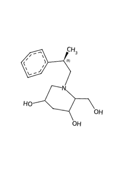 C[C@@H](CN1CC(O)CC(O)C1CO)c1ccccc1